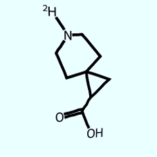 [2H]N1CCC2(CC1)CC2C(=O)O